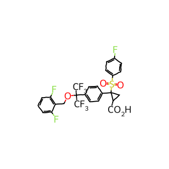 O=C(O)C1CC1(c1ccc(C(OCc2c(F)cccc2F)(C(F)(F)F)C(F)(F)F)cc1)S(=O)(=O)c1ccc(F)cc1